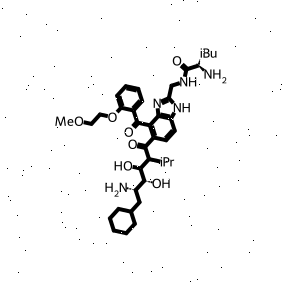 CC[C@@H](C)[C@@H](N)C(=O)NCc1nc2c(C(=O)c3ccccc3OCCOC)c(C(=O)C(C(C)C)C(O)[C@H](O)[C@@H](N)CC3CCCCC3)ccc2[nH]1